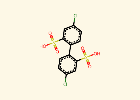 O=S(=O)(O)c1cc(Cl)ccc1-c1ccc(Cl)cc1S(=O)(=O)O